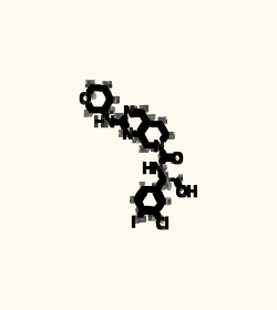 O=C(N[C@H](CO)c1ccc(F)c(Cl)c1)N1CCc2cnc(NC3CCCOC3)nc2C1